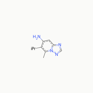 Cc1c(C(C)C)c(N)cc2ncnn12